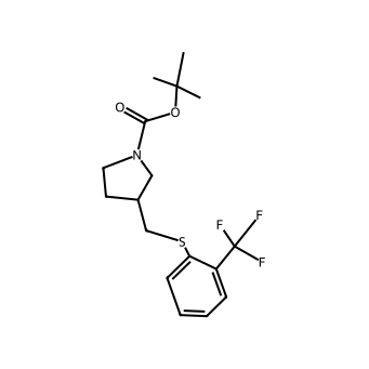 CC(C)(C)OC(=O)N1CCC(CSc2ccccc2C(F)(F)F)C1